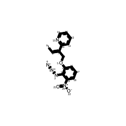 [N-]=[N+]=Nc1c(OCC(=CI)c2ccccn2)cccc1[N+](=O)[O-]